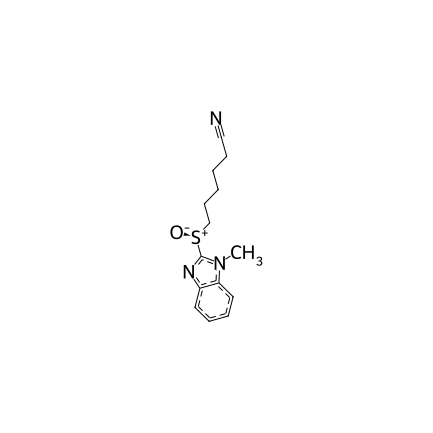 Cn1c([S@@+]([O-])CCCCCC#N)nc2ccccc21